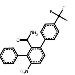 NC(=O)c1c(-c2ccc(C(F)(F)F)cc2)ccc(N)c1-c1ccccc1